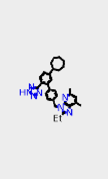 CCc1nc2c(C)cc(C)nc2n1Cc1ccc(-c2cc(C3CCCCCC3)ccc2-c2nn[nH]n2)cc1